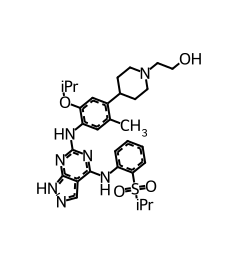 Cc1cc(Nc2nc(Nc3ccccc3S(=O)(=O)C(C)C)c3cn[nH]c3n2)c(OC(C)C)cc1C1CCN(CCO)CC1